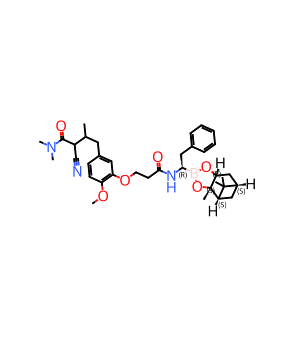 COc1ccc(CC(C)C(C#N)C(=O)N(C)C)cc1OCCC(=O)N[C@@H](Cc1ccccc1)B1O[C@@H]2C[C@@H]3C[C@@H](C3(C)C)[C@]2(C)O1